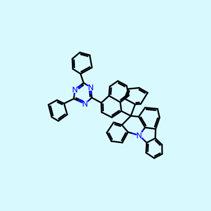 c1ccc(-c2nc(-c3ccccc3)nc(-c3ccc(C4(c5ccccc5)c5ccccc5-n5c6ccccc6c6cccc4c65)c4ccccc34)n2)cc1